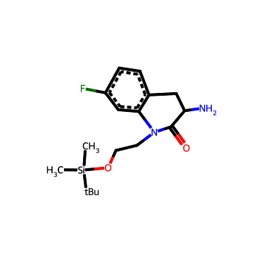 CC(C)(C)[Si](C)(C)OCCN1C(=O)C(N)Cc2ccc(F)cc21